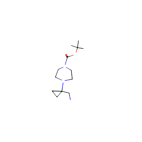 CC(C)(C)OC(=O)N1CCN(C2(CN)CC2)CC1